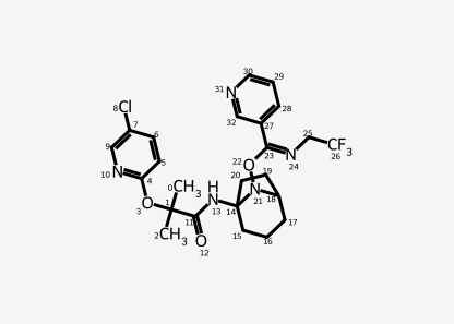 CC(C)(Oc1ccc(Cl)cn1)C(=O)NC12CCCC(CC1)N2OC(=NCC(F)(F)F)c1cccnc1